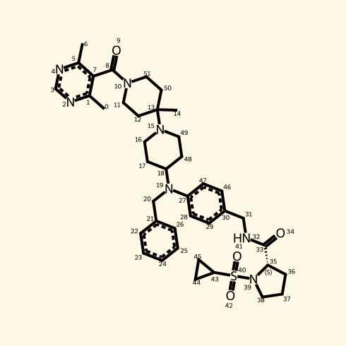 Cc1ncnc(C)c1C(=O)N1CCC(C)(N2CCC(N(Cc3ccccc3)c3ccc(CNC(=O)[C@@H]4CCCN4S(=O)(=O)C4CC4)cc3)CC2)CC1